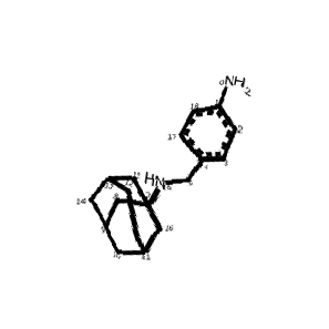 Nc1ccc(CNC23CC4CC(CC(C4)C2)C3)cc1